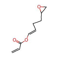 C=CC(=O)OC=CCCC1CO1